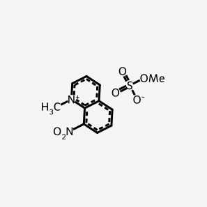 COS(=O)(=O)[O-].C[n+]1cccc2cccc([N+](=O)[O-])c21